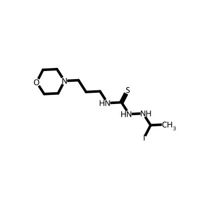 CC(I)NNC(=S)NCCCN1CCOCC1